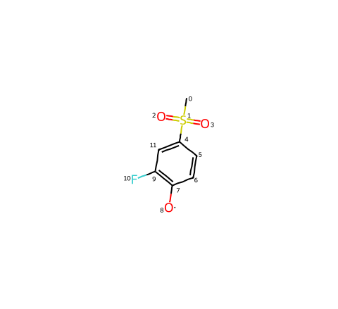 CS(=O)(=O)c1ccc([O])c(F)c1